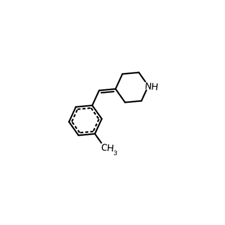 Cc1cccc(C=C2CCNCC2)c1